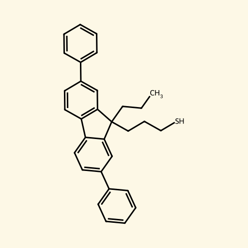 CCCC1(CCCS)c2cc(-c3ccccc3)ccc2-c2ccc(-c3ccccc3)cc21